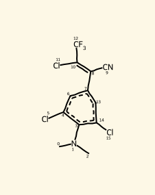 CN(C)c1c(Cl)cc(C(C#N)=C(Cl)C(F)(F)F)cc1Cl